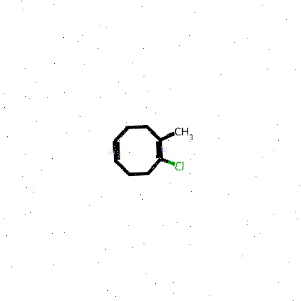 C/C1=C(\Cl)CC/C=C\CC1